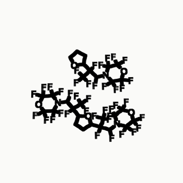 FC(N1C(F)(F)C(F)(F)OC(F)(F)C1(F)F)C(F)(C1CCC(C(F)(C(F)N2C(F)(F)C(F)(F)OC(F)(F)C2(F)F)C(F)(F)F)O1)C(F)(F)F.FC(N1C(F)(F)C(F)(F)OC(F)(F)C1(F)F)C(F)(C1CCCO1)C(F)(F)F